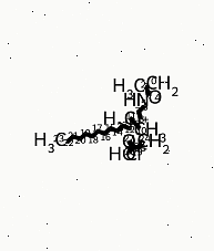 C=C(C)C(=O)NCCC[N+](C)(C)CCCCCCCCCCCC.C=CC(=O)O.[Cl-]